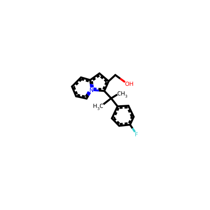 CC(C)(c1ccc(F)cc1)c1c(CO)cc2ccccn12